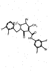 CC1=C(C(=O)Nc2cc(F)c(Br)c(F)c2)C(=O)N(Cc2cccc(F)c2F)N(C)C1C(C)C